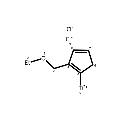 CCOCC1=[C]([Ti+2])CC=C1.[Cl-].[Cl-]